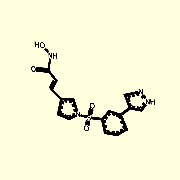 O=C(C=Cc1ccn(S(=O)(=O)c2cccc(-c3cn[nH]c3)c2)c1)NO